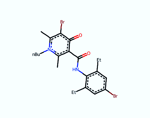 CCCCn1c(C)c(Br)c(=O)c(C(=O)Nc2c(CC)cc(Br)cc2CC)c1C